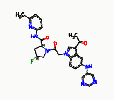 CC(=O)c1cn(CC(=O)N2C[C@H](F)C[C@H]2C(=O)Nc2cccc(C)n2)c2ccc(Nc3cncnc3)cc12